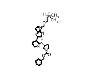 C[Si](C)(C)CCOCn1ccc2nc(-c3cccnc3N[C@@H]3CCN(C(=O)OCc4ccccc4)C3)cnc21